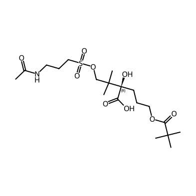 CC(=O)NCCCS(=O)(=O)OCC(C)(C)[C@](O)(CCCOC(=O)C(C)(C)C)C(=O)O